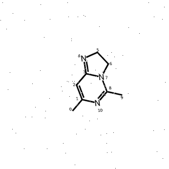 CC1=CC2=NCCN2C(C)=N1